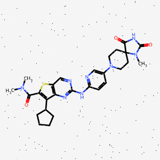 CN(C)C(=O)c1sc2cnc(Nc3ccc(N4CCC5(CC4)C(=O)NC(=O)N5C)cn3)nc2c1C1CCCC1